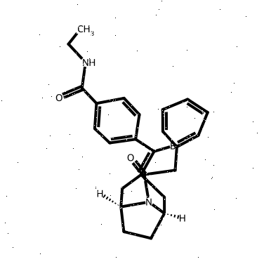 CCNC(=O)c1ccc(/C(Br)=C2/C[C@H]3CC[C@@H](C2)N3C(=O)Cc2ccccc2)cc1